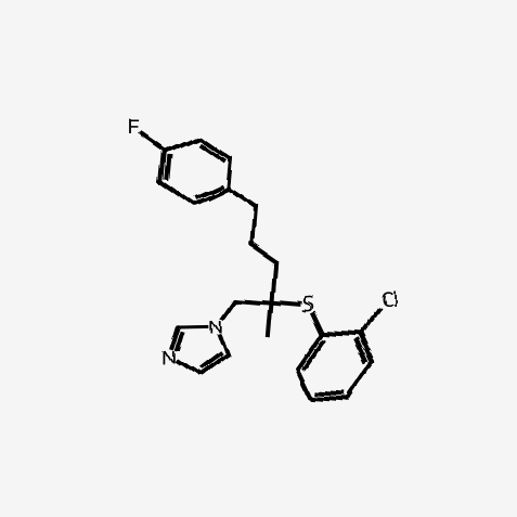 CC(CCCc1ccc(F)cc1)(Cn1ccnc1)Sc1ccccc1Cl